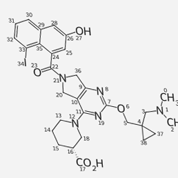 CN(C)CC1(COc2nc3c(c(N4CCC[C@@H](C(=O)O)C4)n2)CN(C(=O)c2cc(O)cc4cccc(I)c24)C3)CC1